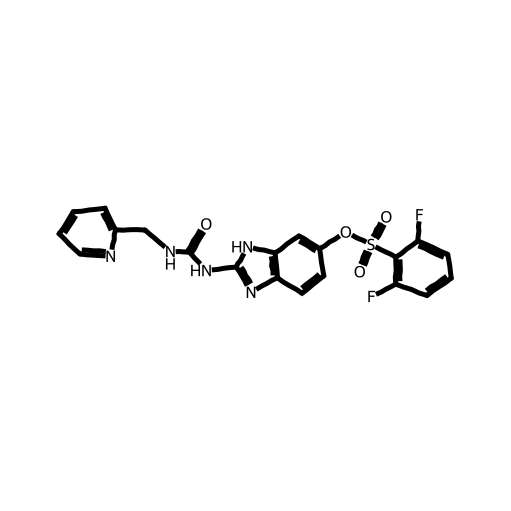 O=C(NCc1ccccn1)Nc1nc2ccc(OS(=O)(=O)c3c(F)cccc3F)cc2[nH]1